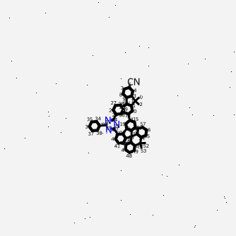 CC1(C)c2cc(C#N)ccc2-c2ccc(-c3ccc4c(c3)-c3c(-c5nc(-c6ccccc6)nc(-c6ccccc6)n5)cccc3C43c4ccccc4C(C)(C)c4ccccc43)cc21